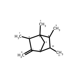 C=C1[C]2CC(C)(C1C)C(C)C2C